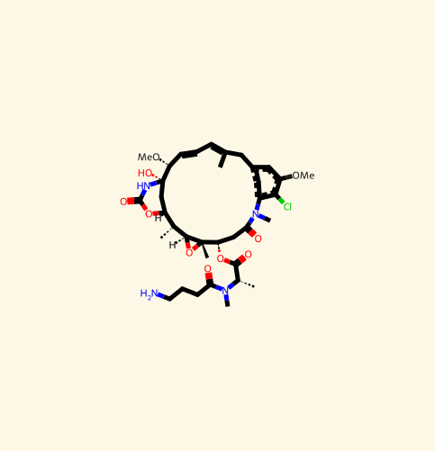 COc1cc2cc(c1Cl)N(C)C(=O)C[C@H](OC(=O)[C@H](C)N(C)C(=O)CCCN)[C@]1(C)O[C@H]1[C@H](C)[C@@H]1C[C@@](O)(NC(=O)O1)[C@H](OC)/C=C/C=C(\C)C2